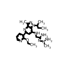 CCOc1ncccc1-c1cc(NC/C(N)=N/N(C)N)c2c(n1)c(C)nn2C(C)CC